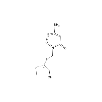 CC[C@@H](CO)OCn1cnc(N)nc1=O